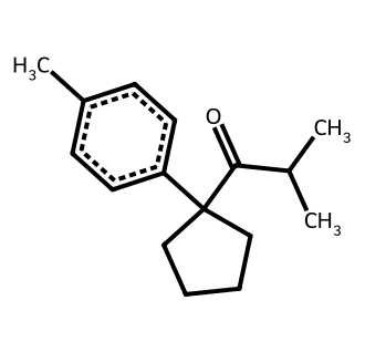 Cc1ccc(C2(C(=O)C(C)C)CCCC2)cc1